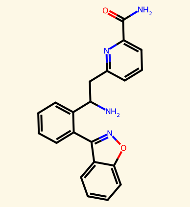 NC(=O)c1cccc(CC(N)c2ccccc2-c2noc3ccccc23)n1